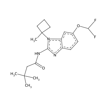 CC(C)(C)CC(=O)Nc1nc2ccc(OC(F)F)cc2n1C1(C)CCC1